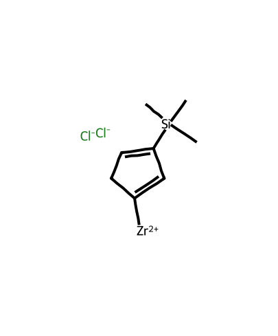 C[Si](C)(C)C1=CC[C]([Zr+2])=C1.[Cl-].[Cl-]